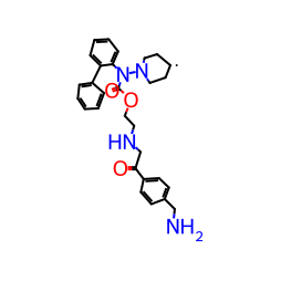 NCc1ccc(C(=O)CNCCOC(=O)N(c2ccccc2-c2ccccc2)N2CC[CH]CC2)cc1